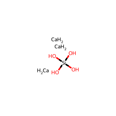 O[Si](O)(O)O.[CaH2].[CaH2].[CaH2]